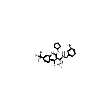 Cc1c(C(=O)NCc2cccc(F)c2)c(SC2CCCC2)nc2cc(C(F)(F)F)ccc12